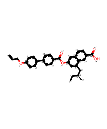 C=CCOc1ccc(-c2ccc(C(=O)Oc3cc(C[C@@H](C)CC)c4cc(C(=O)O)ccc4c3)cc2)cc1